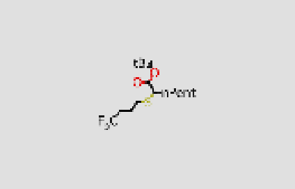 CCCCCC(SCCCC(F)(F)F)C(=O)OC(C)(C)C